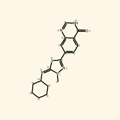 Cn1nc(-c2ccc3c(=O)[nH]cnc3c2)s/c1=N/C1CCCCC1